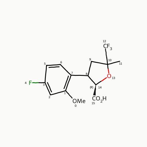 COc1cc(F)ccc1C1CC(C)(C(F)(F)F)O[C@H]1C(=O)O